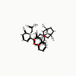 O=C(O)Cn1c(-c2nc3ccccc3n(C3C[C@H]4CC[C@@H](C3)N4C3C[C@H]4CCC[C@@H](C3)C4)c2=O)cccc1=O